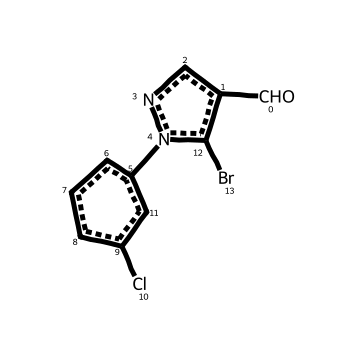 O=Cc1cnn(-c2cccc(Cl)c2)c1Br